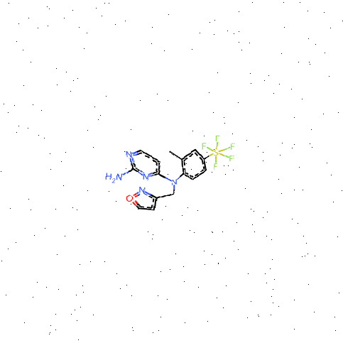 Cc1cc(S(F)(F)(F)(F)F)ccc1N(Cc1ccon1)c1ccnc(N)n1